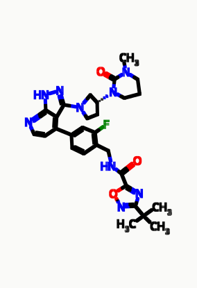 CN1CCCN([C@@H]2CCN(c3n[nH]c4nccc(-c5ccc(CNC(=O)c6nc(C(C)(C)C)no6)c(F)c5)c34)C2)C1=O